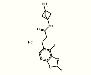 Cl.NC12CC(NC(=O)COc3ccc4c(c3F)OC(F)O4)(C1)C2